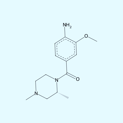 COc1cc(C(=O)N2CCN(C)C[C@H]2C)ccc1N